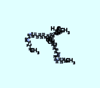 CCCCC/C=C\C/C=C\CCCCCCCCC(CCCCCCCC/C=C\C/C=C\CCCCC)(CCCCN(CC)CC)OC